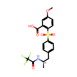 COc1ccc(S(=O)(=O)c2ccc(C[C@@H](C)NC(=O)C(F)(F)F)cc2)c(C(=O)O)c1